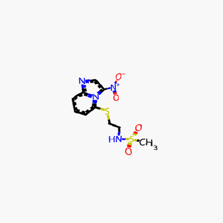 CS(=O)(=O)NCCSc1cccc2ncc([N+](=O)[O-])n12